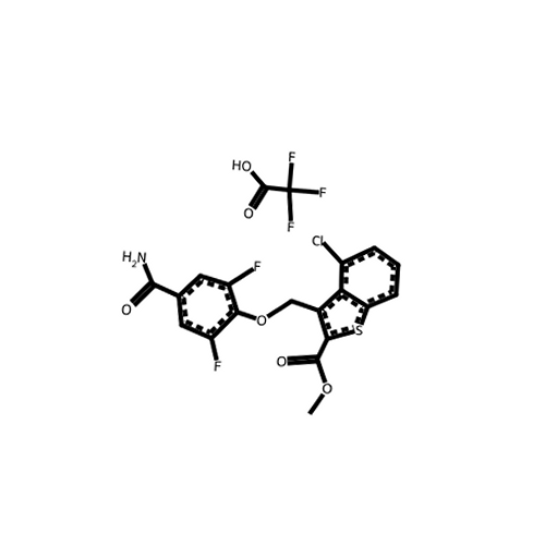 COC(=O)c1sc2cccc(Cl)c2c1COc1c(F)cc(C(N)=O)cc1F.O=C(O)C(F)(F)F